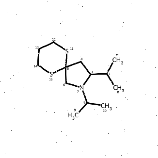 CC(C)C1CC2(CN1C(C)C)SCCCS2